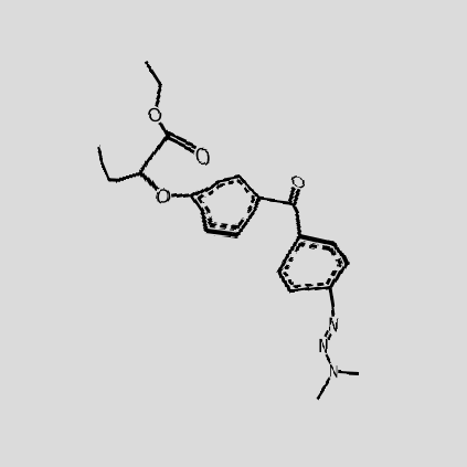 CCOC(=O)C(CC)Oc1ccc(C(=O)c2ccc(N=NN(C)C)cc2)cc1